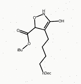 CCCCCCCCCCCCCCC1=C(O)NOC1C(=O)OC(C)CC